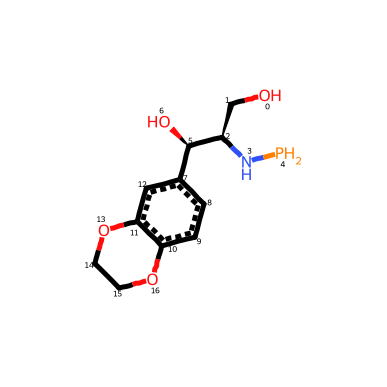 OC[C@@H](NP)[C@H](O)c1ccc2c(c1)OCCO2